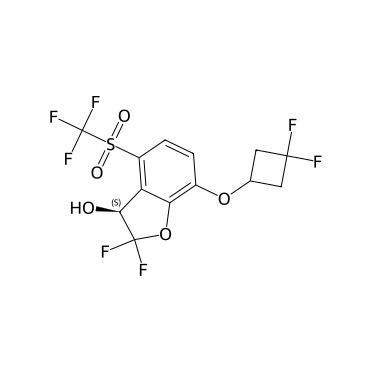 O=S(=O)(c1ccc(OC2CC(F)(F)C2)c2c1[C@H](O)C(F)(F)O2)C(F)(F)F